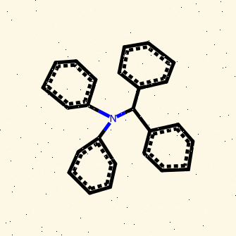 c1ccc(C(c2ccccc2)N(c2ccccc2)c2ccccc2)cc1